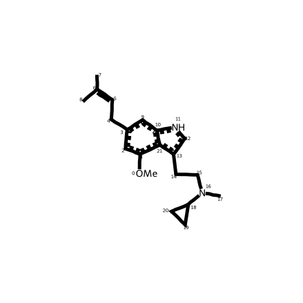 COc1cc(CC=C(C)C)cc2[nH]cc(CCN(C)C3CC3)c12